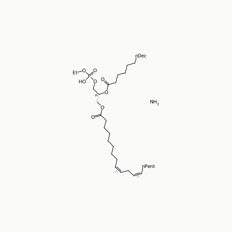 CCCCC/C=C\C/C=C\CCCCCCCC(=O)OC[C@H](COP(=O)(O)OCC)OC(=O)CCCCCCCCCCCCCCC.N